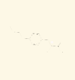 COCOc1ccc(/C=C(\Br)C(=O)O)cc1